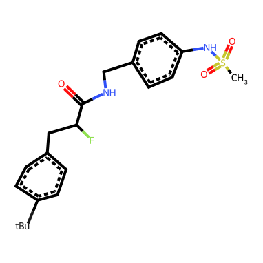 CC(C)(C)c1ccc(CC(F)C(=O)NCc2ccc(NS(C)(=O)=O)cc2)cc1